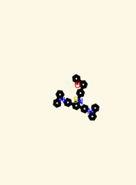 c1ccc2c(c1)oc1c(-c3ccc(-c4nc5c(-c6ccc(-n7c8ccccc8c8ccccc87)cc6)ccc(-c6ccc(-n7c8ccccc8c8ccccc87)cc6)c5s4)cc3)cccc12